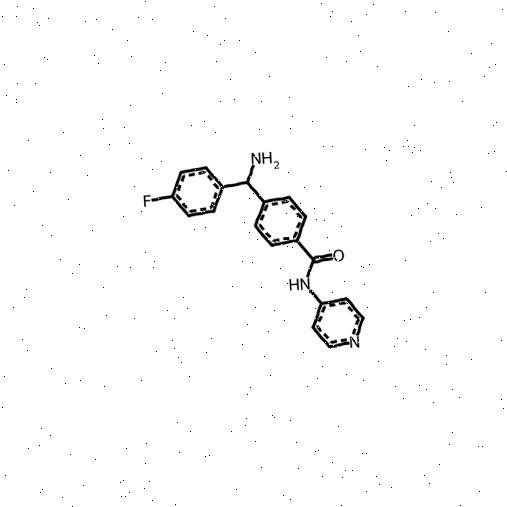 NC(c1ccc(F)cc1)c1ccc(C(=O)Nc2ccncc2)cc1